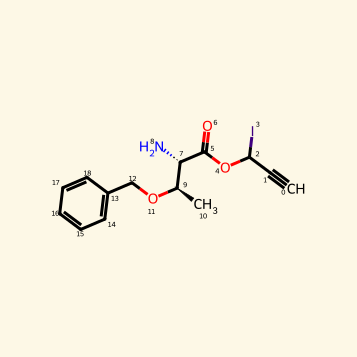 C#CC(I)OC(=O)[C@@H](N)[C@@H](C)OCc1ccccc1